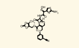 Cc1oc(=O)oc1COC(=O)C1=C(COc2cccc(C#N)c2)CS[C@H]2C(NC(=O)C(=NO)c3csc(N)n3)C(=O)N12